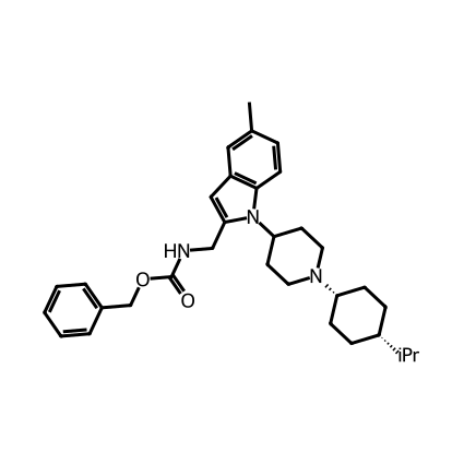 Cc1ccc2c(c1)cc(CNC(=O)OCc1ccccc1)n2C1CCN([C@H]2CC[C@@H](C(C)C)CC2)CC1